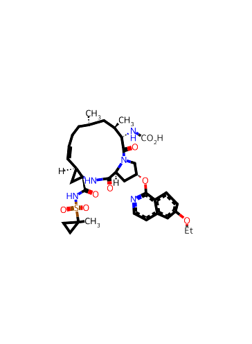 CCOc1ccc2c(O[C@@H]3C[C@H]4C(=O)N[C@]5(C(=O)NS(=O)(=O)C6(C)CC6)C[C@H]5C=CCC[C@H](C)C[C@@H](C)[C@H](NC(=O)O)C(=O)N4C3)nccc2c1